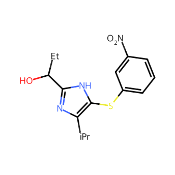 CCC(O)c1nc(C(C)C)c(Sc2cccc([N+](=O)[O-])c2)[nH]1